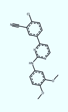 COc1ccc(Nc2nccc(-c3ccc(Cl)c(C#N)c3)n2)cc1OC